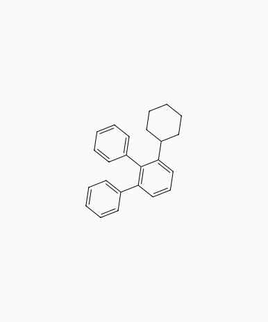 c1ccc(-c2cccc(C3CCCCC3)c2-c2ccccc2)cc1